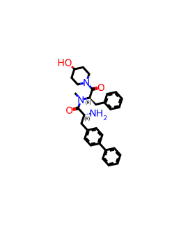 CN(C(=O)[C@H](N)Cc1ccc(-c2ccccc2)cc1)[C@H](Cc1ccccc1)C(=O)N1CCC(O)CC1